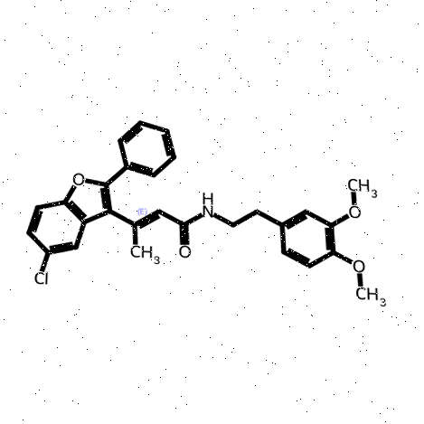 COc1ccc(CCNC(=O)/C=C(\C)c2c(-c3ccccc3)oc3ccc(Cl)cc23)cc1OC